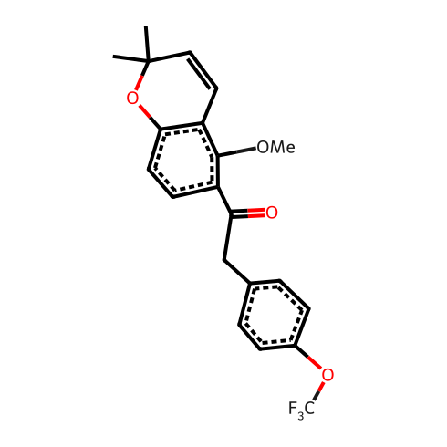 COc1c(C(=O)Cc2ccc(OC(F)(F)F)cc2)ccc2c1C=CC(C)(C)O2